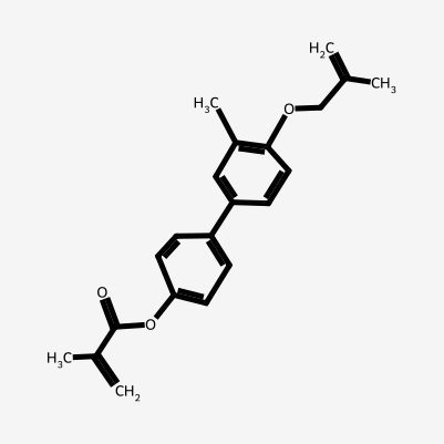 C=C(C)COc1ccc(-c2ccc(OC(=O)C(=C)C)cc2)cc1C